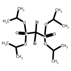 CC(C)OP(=O)(OC(C)C)C(Br)(Br)P(=O)(OC(C)C)OC(C)C